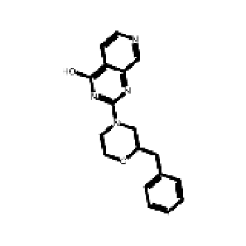 Oc1nc(N2CCOC(Cc3ccccc3)C2)nc2cnccc12